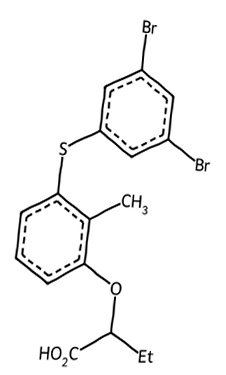 CCC(Oc1cccc(Sc2cc(Br)cc(Br)c2)c1C)C(=O)O